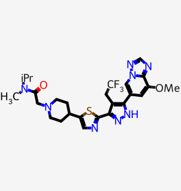 COc1cc(-c2[nH]nc(-c3ncc(C4CCN(CC(=O)N(C)C(C)C)CC4)s3)c2CC(F)(F)F)cn2ncnc12